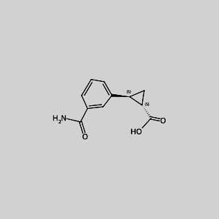 NC(=O)c1cccc([C@H]2C[C@@H]2C(=O)O)c1